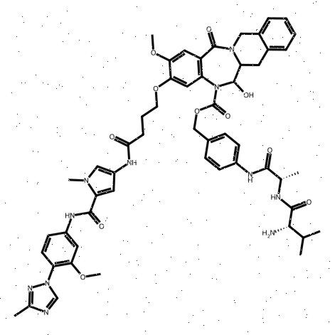 COc1cc2c(cc1OCCCC(=O)Nc1cc(C(=O)Nc3ccc(-n4cnc(C)n4)c(OC)c3)n(C)c1)N(C(=O)OCc1ccc(NC(=O)[C@H](C)NC(=O)[C@@H](N)C(C)C)cc1)C(O)C1Cc3ccccc3CN1C2=O